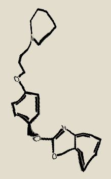 c1ccc2oc(Oc3ccc(OCCN4CCCCC4)cc3)nc2c1